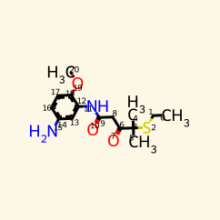 CCSC(C)(C)C(=O)CC(=O)Nc1cc(N)ccc1OC